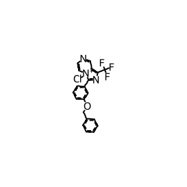 FC(F)(F)C1=C2C=NC=C[N+]2(Cl)C(c2cccc(OCc3ccccc3)c2)=N1